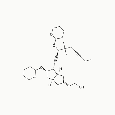 CCC#CCC(C)(C)[C@@H](C#C[C@@H]1[C@H]2C/C(=C\CO)C[C@H]2C[C@H]1OC1CCCCO1)OC1CCCCO1